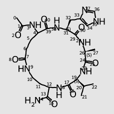 CC(=O)NC1CCC(=O)NCCC(C(N)=O)NC(=O)[C@H](C(C)C)NC(=O)[C@H](C)NC(=O)[C@H](Cc2c[nH]cn2)NC1=O